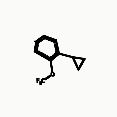 FC(F)(F)Oc1c[c]ccc1C1CC1